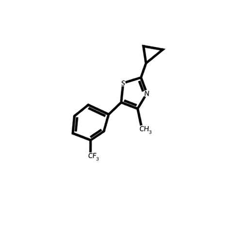 Cc1nc(C2CC2)sc1-c1cccc(C(F)(F)F)c1